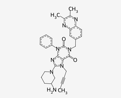 CC#CCn1c(N2CCCC(N)C2)nc2c1c(=O)n(Cc1ccc3nc(C)c(C)nc3c1)c(=O)n2-c1ccccc1